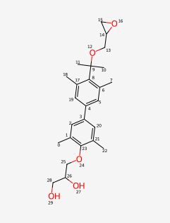 Cc1cc(-c2cc(C)c(C(C)(C)OCC3CO3)c(C)c2)cc(C)c1OCC(O)CO